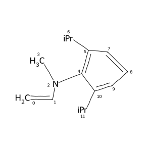 C=CN(C)c1c(C(C)C)cccc1C(C)C